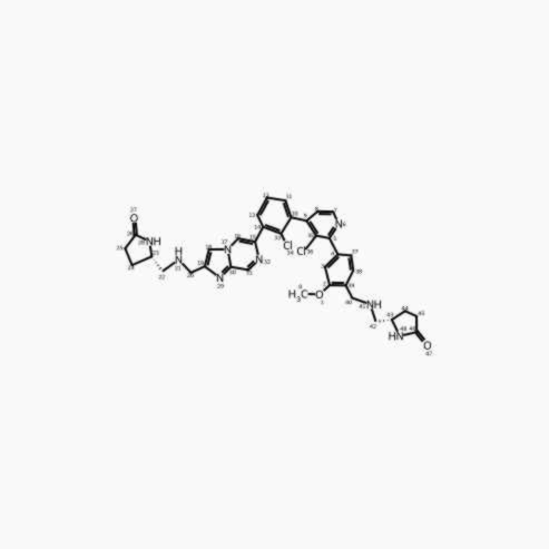 COc1cc(-c2nccc(-c3cccc(-c4cn5cc(CNC[C@@H]6CCC(=O)N6)nc5cn4)c3Cl)c2Cl)ccc1CNC[C@@H]1CCC(=O)N1